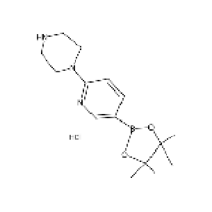 CC1(C)OB(c2ccc(N3CCNCC3)nc2)OC1(C)C.Cl